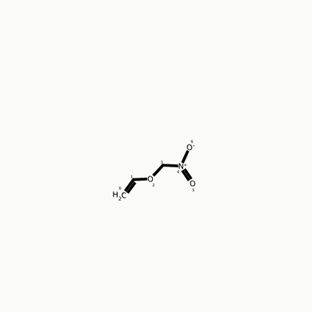 C=COC[N+](=O)[O-]